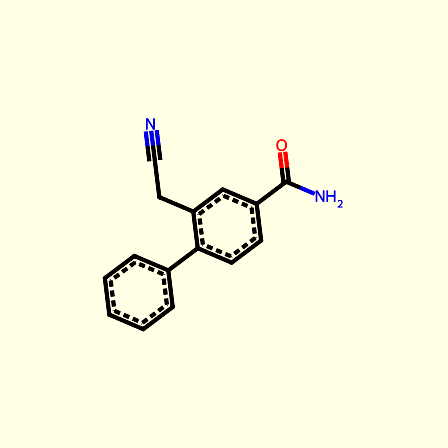 N#CCc1cc(C(N)=O)ccc1-c1ccccc1